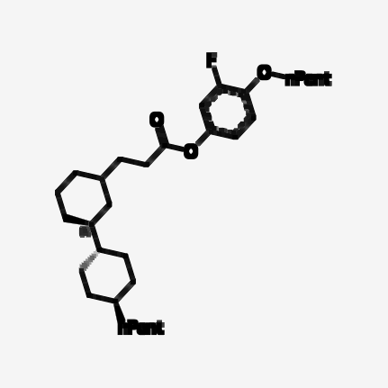 CCCCCOc1ccc(OC(=O)CCC2CCC[C@H]([C@H]3CC[C@H](CCCCC)CC3)C2)cc1F